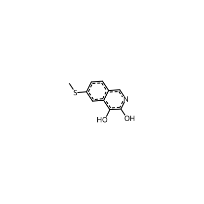 CSc1ccc2cnc(O)c(O)c2c1